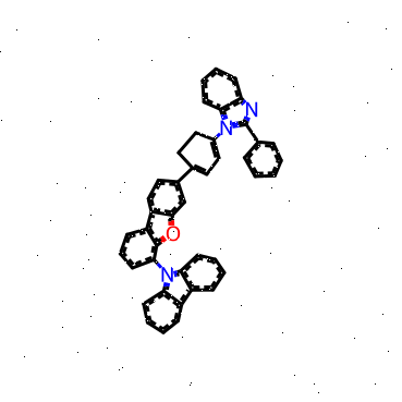 C1=C(c2ccc3c(c2)oc2c(-n4c5ccccc5c5ccccc54)cccc23)CCC(n2c(-c3ccccc3)nc3ccccc32)=C1